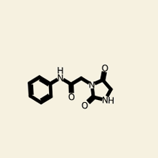 O=C(CN1C(=O)CNC1=O)Nc1ccccc1